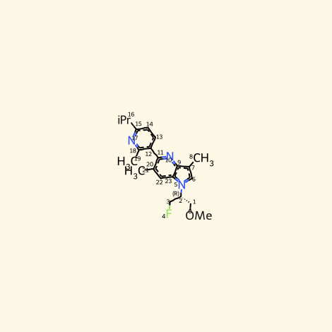 COC[C@H](CF)n1cc(C)c2nc(-c3ccc(C(C)C)nc3C)c(C)cc21